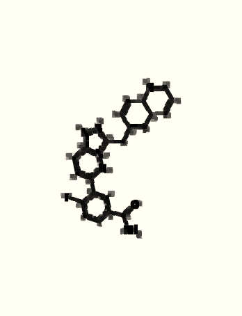 NC(=O)c1ccc(F)c(-c2ccc3nnc(CC4=CC5C=CC=NC5C=C4)n3n2)c1